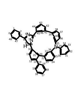 c1ccc(C2=NC3=N[C@H](C2)c2ccc(-c4ccccc4)c(c2)-c2cccc(c2)N(c2ccccc2)c2cccc(c2)-c2cccc3c2)cc1